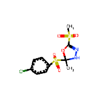 CC1(S(=O)(=O)c2ccc(Cl)cc2)NN=C(S(C)(=O)=O)O1